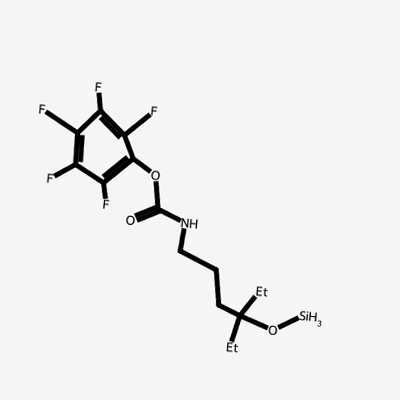 CCC(CC)(CCCNC(=O)Oc1c(F)c(F)c(F)c(F)c1F)O[SiH3]